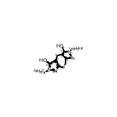 CCCCCCn1nc(C)c(Cc2c(C)nn(CCCCCC)c2O)c1O